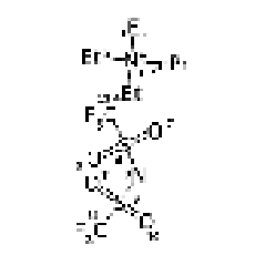 CCC[N+](CC)(CC)CC.O=S(=O)([N-]S(=O)(=O)C(F)(F)F)C(F)(F)F